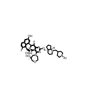 C#Cc1c(F)ccc2cc(O)cc(-c3nc(OC)c4c(N5CCOC[C@@](C)(O)C5)nc(OC[C@]56CCC[C@H]5N(CC5CCN(C(C)=O)CC5)CCC6)nc4c3F)c12